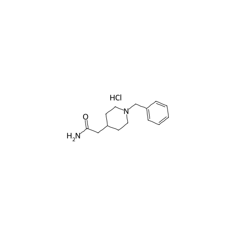 Cl.NC(=O)CC1CCN(Cc2ccccc2)CC1